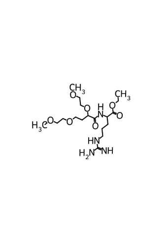 CCOC(=O)C(CCCNC(=N)N)NC(=O)C(CCOCCOC)OCCOC